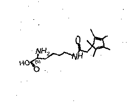 CC1=C(C)C(C)(CC(=O)NCCCC[C@H](N)C(=O)O)C(C)=C1C